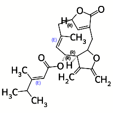 C=C1OC2CC3=C[C@@H](C/C(C)=C/[C@@H](OC(=O)/C=C(\C)C(C)C)[C@@H]2C1=C)OC3=O